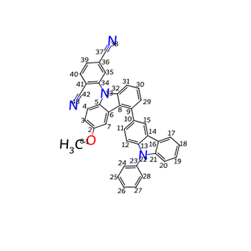 COc1ccc2c(c1)c1c(-c3ccc4c(c3)c3ccccc3n4-c3ccccc3)cccc1n2-c1cc(C#N)ccc1C#N